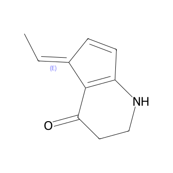 C/C=C1\C=CC2=C1C(=O)CCN2